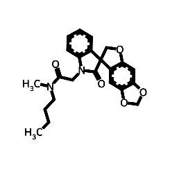 CCCCN(C)C(=O)CN1C(=O)C2(COc3cc4c(cc32)OCO4)c2ccccc21